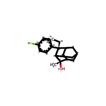 C[C@]1(O)C2CC3CC(C2)[C@@](CC(=O)O)(c2ccc(F)cc2)C1C3